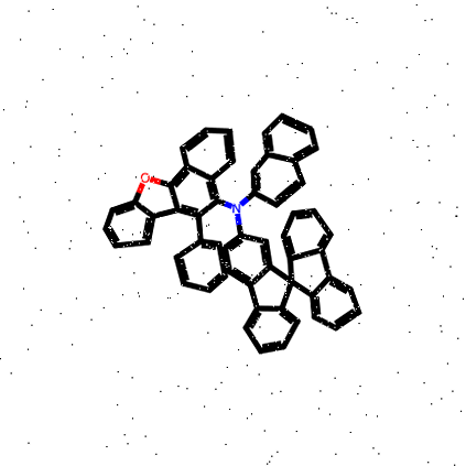 c1ccc(-c2c(N(c3ccc4c(c3)C3(c5ccccc5-c5ccccc53)c3ccccc3-4)c3ccc4ccccc4c3)c3ccccc3c3oc4ccccc4c23)cc1